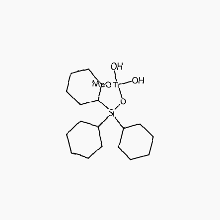 C[O][Ti]([OH])([OH])[O][Si](C1CCCCC1)(C1CCCCC1)C1CCCCC1